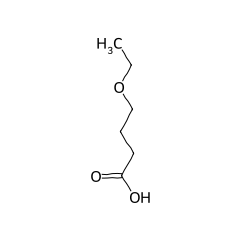 CCOCCCC(=O)O